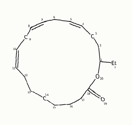 CCC1CC/C=C\C/C=C\C/C=C\CCCCCCC(=O)O1